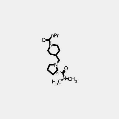 CCCC(=O)N1CCC(CN2CCC[C@H]2C(=O)N(C)C)CC1